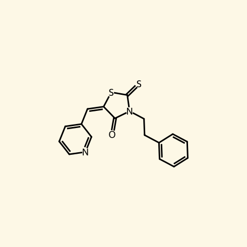 O=C1/C(=C\c2cccnc2)SC(=S)N1CCc1ccccc1